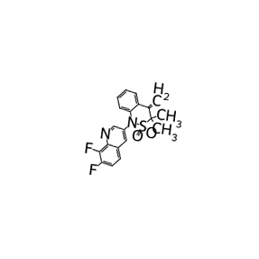 C=C1c2ccccc2N(c2cnc3c(F)c(F)ccc3c2)S(=O)(=O)C1(C)C